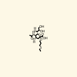 CCSCCCO[C@]1(C(=O)O)C[C@H](O)[C@@H](NC(C)=O)[C@H](C(O)[C@H](O)CO)O1